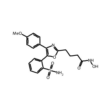 COc1ccc(-c2nc(CCCC(=O)NO)oc2-c2ccccc2S(N)(=O)=O)cc1